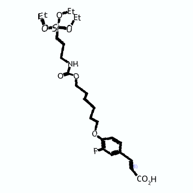 CCO[Si](CCCNC(=O)OCCCCCCOc1ccc(/C=C/C(=O)O)cc1F)(OCC)OCC